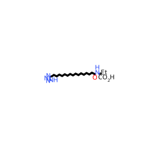 CCC(NC(=O)CCCCCCCCCCCCCCCc1nnn[nH]1)C(=O)O